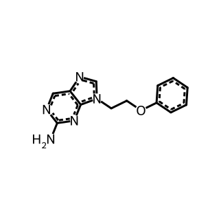 Nc1ncc2ncn(CCOc3ccccc3)c2n1